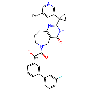 CC(C)c1cncc(C2(c3nc4c(c(=O)[nH]3)CN(C(=O)[C@H](O)c3cccc(-c5cccc(F)c5)c3)CCC4)CC2)c1